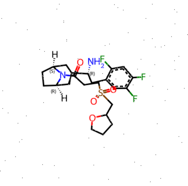 N[C@H](Cc1cc(F)c(F)cc1F)[C@H]1C[C@H]2CC[C@@H](C1)N2C(=O)CCS(=O)(=O)CC1CCCO1